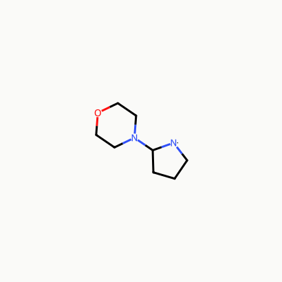 C1C[N]C(N2CCOCC2)C1